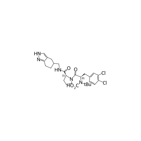 CC(C)(C)N(C(=O)O)[C@H](Cc1ccc(Cl)c(Cl)c1)C(=O)N1CCC[C@H]1C(=O)NCC1CCc2n[nH]cc2C1